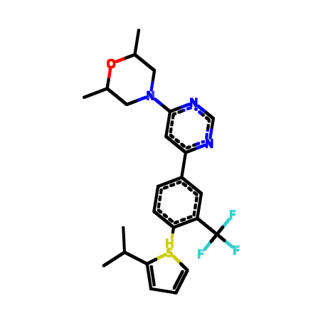 CC1CN(c2cc(-c3ccc([SH]4C=CC=C4C(C)C)c(C(F)(F)F)c3)ncn2)CC(C)O1